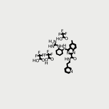 Cc1ccc2nc(C(=O)NCCc3cccnc3)nc(NC3CCCCC3NC(=N)N)c2c1.O=C(O)C(F)(F)F.O=C(O)C(F)(F)F.O=C(O)C(F)(F)F